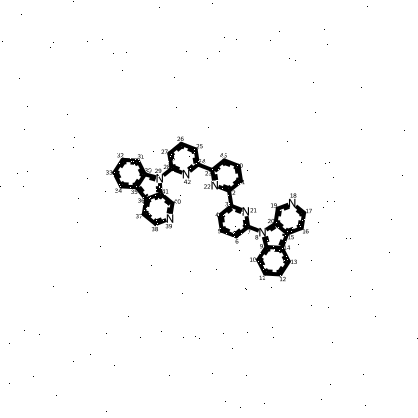 c1cc(-c2cccc(-n3c4ccccc4c4ccncc43)n2)nc(-c2cccc(-n3c4ccccc4c4ccncc43)n2)c1